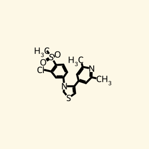 Cc1cc(C2=CSCN2c2ccc(S(C)(=O)=O)c(Cl)c2)cc(C)n1